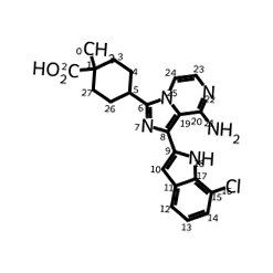 CC1(C(=O)O)CCC(c2nc(-c3cc4cccc(Cl)c4[nH]3)c3c(N)nccn23)CC1